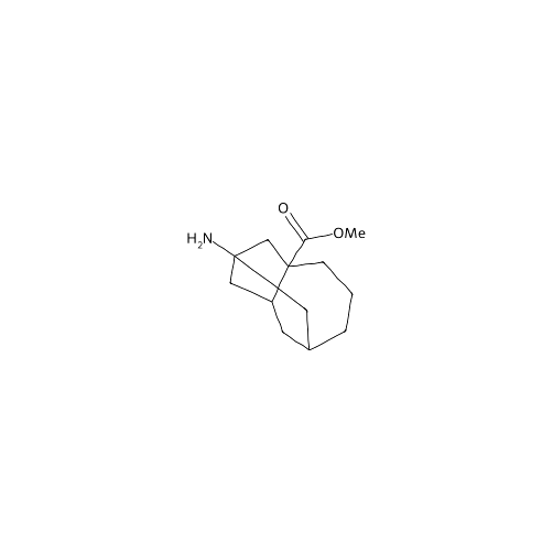 COC(=O)C12CCCC3CC1CC(N)(C3)C2